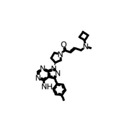 Cc1ccc(-c2nn([C@@H]3CCN(C(=O)/C=C/CN(C)C4CCC4)C3)c3ncnc(N)c23)cc1